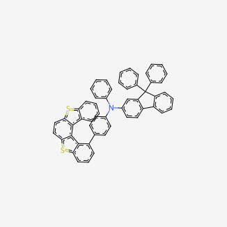 c1ccc(N(c2ccc(-c3cccc4sc5ccc6sc7ccccc7c6c5c34)cc2)c2ccc3c(c2)C(c2ccccc2)(c2ccccc2)c2ccccc2-3)cc1